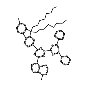 CCCCCCCCC1(CCCCCCCC)c2cc(C)ccc2-c2ccc(-c3cc(-c4cccc5c(C)cccc45)nc(-c4nc(-c5ccccc5)cc(-c5ccccc5)n4)n3)cc21